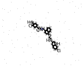 O=C(N/N=C/c1ccc(OCCNC(CO)Cc2ccc(Cl)cc2)c2ccccc12)c1ccc(O)c(Cl)c1